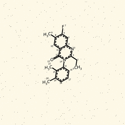 CCc1nc2cc(F)c(C)cc2c(=O)n1-c1cccc(C)c1C